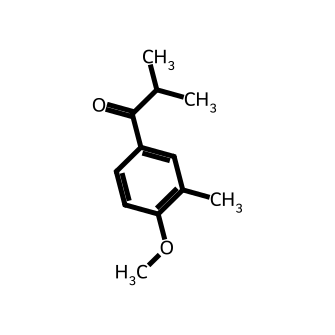 COc1ccc(C(=O)C(C)C)cc1C